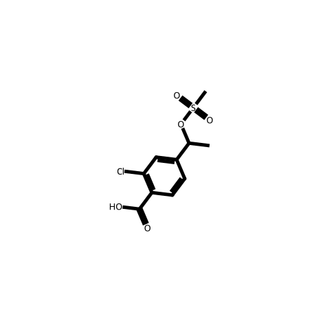 CC(OS(C)(=O)=O)c1ccc(C(=O)O)c(Cl)c1